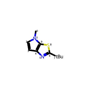 Cn1ccc2nc(C(C)(C)C)sc21